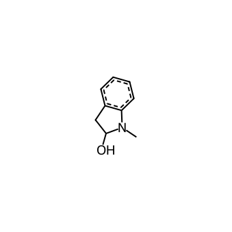 CN1c2ccccc2CC1O